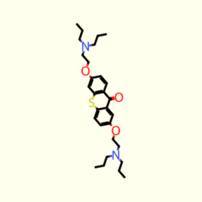 CCCN(CCC)CCOc1ccc2c(=O)c3cc(OCCN(CCC)CCC)ccc3sc2c1